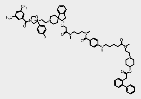 CN(CCN1CCC(OC(=O)Cc2ccccc2-c2ccccc2)CC1)C(=O)CCCCN(C)c1ccc(C(=O)N(C)CCCN(C)C(=O)CO[C@H]2Cc3ccccc3C23CCN(CC[C@@]2(c4ccc(F)cc4)CN(C(=O)c4cc(C(F)(F)F)cc(C(F)(F)F)c4)CO2)CC3)cc1